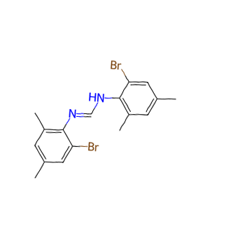 Cc1cc(C)c(/N=C/Nc2c(C)cc(C)cc2Br)c(Br)c1